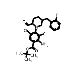 CC(C)(C)OC(=O)c1cc(Cl)c(N2CC(Cc3ccccc3F)CCC2C=O)c(Cl)c1N